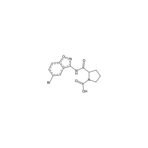 O=C(Nc1noc2ccc(Br)cc12)C1CCCN1C(=O)O